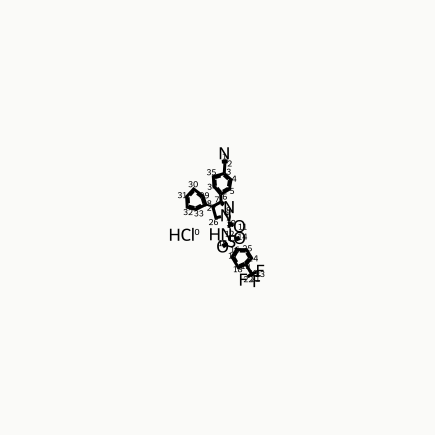 Cl.N#Cc1ccc(C2=NN(C(=O)NS(=O)(=O)c3ccc(C(F)(F)F)cc3)C[C@H]2c2ccccc2)cc1